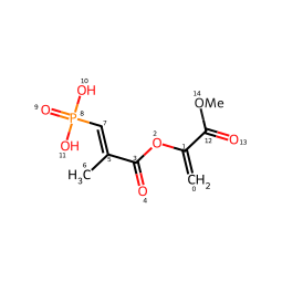 C=C(OC(=O)C(C)=CP(=O)(O)O)C(=O)OC